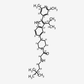 Cc1cc(-c2[nH]c3ccc(C4CCN(C(=O)CNCCC(C)(C)C)CC4)cc3c2C(C)C)cc(C)n1